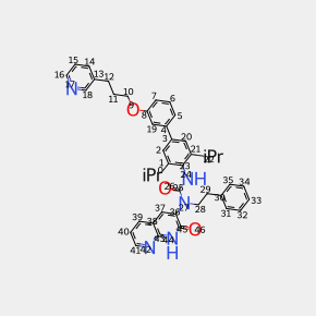 CC(C)c1cc(-c2cccc(OCCCc3cccnc3)c2)cc(C(C)C)c1NC(=O)N(CCc1ccccc1)c1cc2cccnc2[nH]c1=O